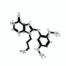 CCCCn1c(Sc2cc(OC)ccc2OC)nc2c(=O)[nH]cnc21